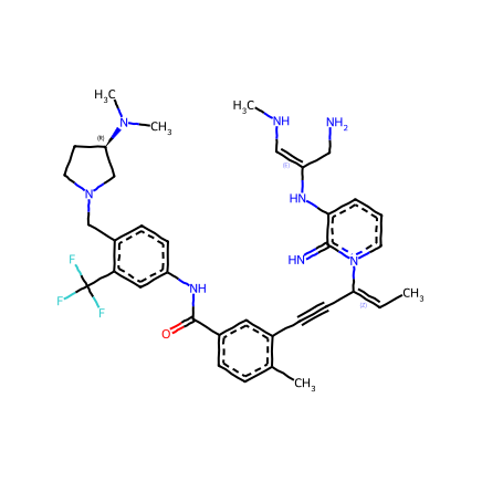 C/C=C(/C#Cc1cc(C(=O)Nc2ccc(CN3CC[C@@H](N(C)C)C3)c(C(F)(F)F)c2)ccc1C)n1cccc(N/C(=C/NC)CN)c1=N